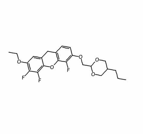 CCCC1COC(COc2ccc3c(c2F)Oc2c(cc(OCC)c(F)c2F)C3)OC1